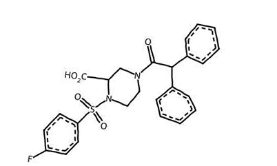 O=C(O)C1CN(C(=O)C(c2ccccc2)c2ccccc2)CCN1S(=O)(=O)c1ccc(F)cc1